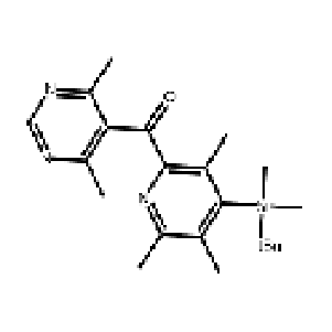 Cc1nc(C(=O)c2c(C)ncnc2C)c(C)c([Si](C)(C)C(C)(C)C)c1C